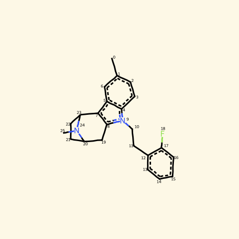 Cc1ccc2c(c1)c1c(n2CCc2ccccc2F)CC2CCC1N2C